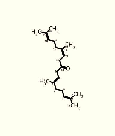 CC(C)=CCCC(C)=CCC(=O)CC=C(C)CCC=C(C)C